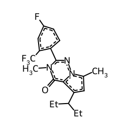 CCC(CC)c1cc(C)n2nc(-c3ccc(F)cc3C(F)(F)F)n(C)c(=O)c12